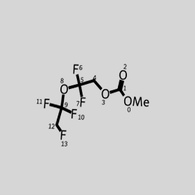 COC(=O)OCC(F)(F)OC(F)(F)CF